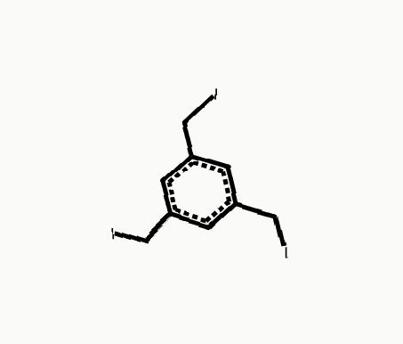 ICc1cc(CI)cc(CI)c1